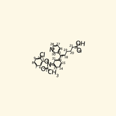 CC(=O)N(Oc1ccccc1Cl)c1cccc(/C(=C/CCCC(=O)O)c2cccnc2)c1